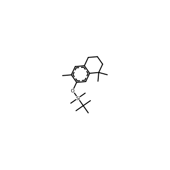 Cc1cc2c(cc1O[Si](C)(C)C(C)(C)C)C(C)(C)CCC2